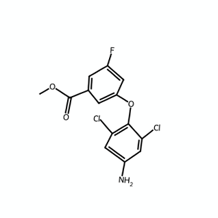 COC(=O)c1cc(F)cc(Oc2c(Cl)cc(N)cc2Cl)c1